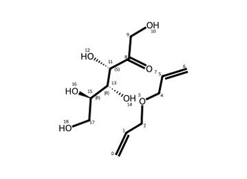 C=CCOCC=C.O=C(CO)[C@@H](O)[C@H](O)[C@H](O)CO